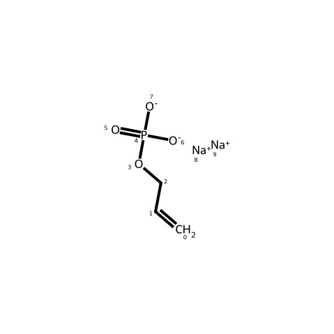 C=CCOP(=O)([O-])[O-].[Na+].[Na+]